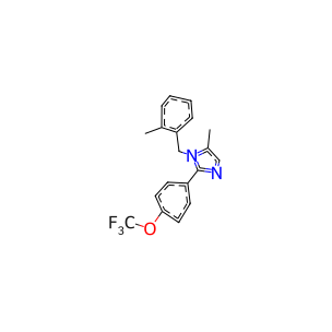 Cc1ccccc1Cn1c(C)cnc1-c1ccc(OC(F)(F)F)cc1